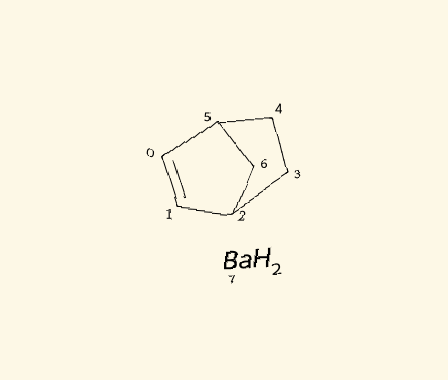 C1=CC2CCC1C2.[BaH2]